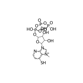 C[n+]1cn(C2OC(OP(=O)(O)OP(=O)(O)OP(=O)(O)O)C(O)C2O)c2nccc(S)c21